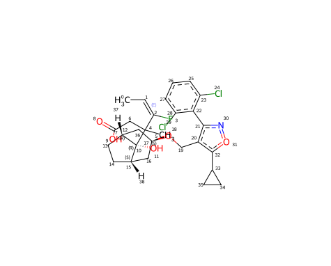 C/C=C(/F)C(C)(CC(=O)O)[C@]1(O)[C@@H]2CC[C@H]1C[C@H](OCc1c(-c3c(Cl)cccc3Cl)noc1C1CC1)C2